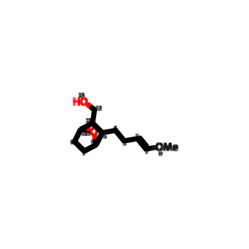 COC=CCCC1C2CCC(O2)C1CO